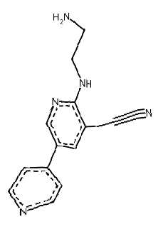 N#Cc1cc(-c2ccncc2)cnc1NCCN